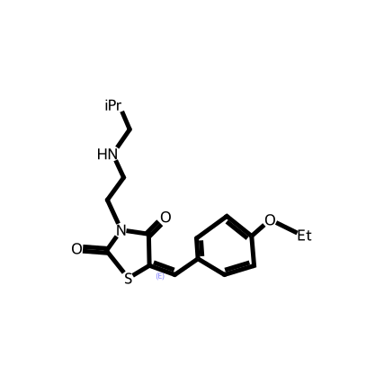 CCOc1ccc(/C=C2/SC(=O)N(CCNCC(C)C)C2=O)cc1